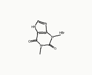 Br.Cn1c(=O)c2[nH]cnc2n(C)c1=O